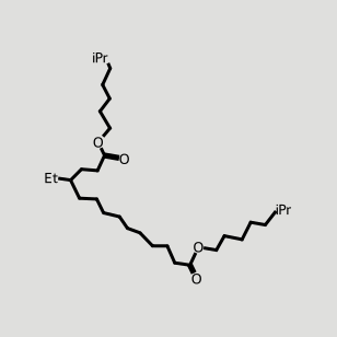 CCC(CCCCCCCCCC(=O)OCCCCCC(C)C)CCC(=O)OCCCCCC(C)C